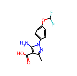 Cc1nn(-c2ccc(OC(F)F)cc2)c(N)c1C(=O)O